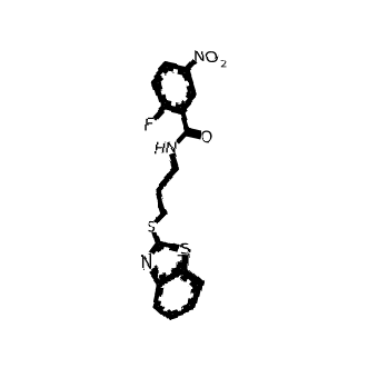 O=C(NCCCSc1nc2ccccc2s1)c1cc([N+](=O)[O-])ccc1F